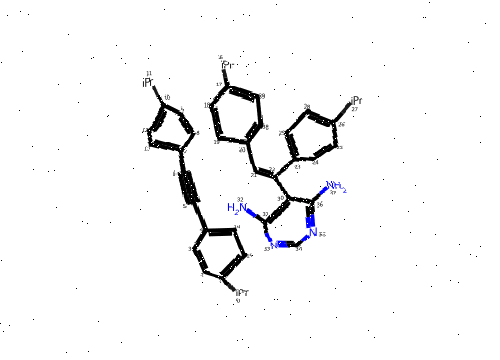 CC(C)c1ccc(C#Cc2ccc(C(C)C)cc2)cc1.CC(C)c1ccc(C=C(c2ccc(C(C)C)cc2)c2c(N)ncnc2N)cc1